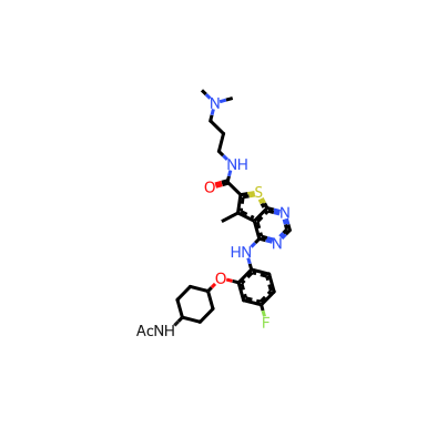 CC(=O)NC1CCC(Oc2cc(F)ccc2Nc2ncnc3sc(C(=O)NCCCN(C)C)c(C)c23)CC1